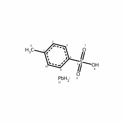 Cc1ccc(S(=O)(=O)O)cc1.[PbH2]